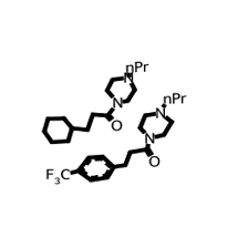 CCCN1CCN(C(=O)CCC2CCCCC2)CC1.CCCN1CCN(C(=O)CCc2ccc(C(F)(F)F)cc2)CC1